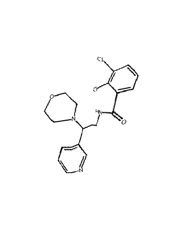 O=C(NCC(c1cccnc1)N1CCOCC1)c1cccc(Cl)c1Cl